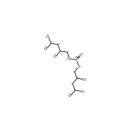 O=[PH](OCC(Cl)CC(Cl)Cl)OCC(Cl)CC(Cl)Cl